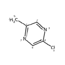 [CH2]c1cnc(Cl)cn1